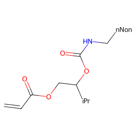 C=CC(=O)OCC(OC(=O)NCCCCCCCCCC)C(C)C